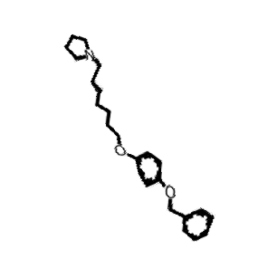 c1ccc(COc2ccc(OCCCCCCCN3CCCC3)cc2)cc1